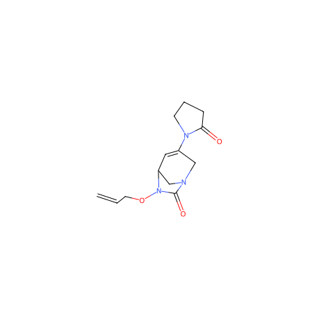 C=CCON1C(=O)N2CC(N3CCCC3=O)=CC1C2